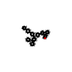 c1ccc(-c2ccc(-c3ccc(N(c4ccc(-c5ccc6c(c5)C5(CC7CCC5C7)c5ccccc5-6)cc4)c4ccc5c6ccccc6n(-c6ccccc6)c5c4)cc3)cc2)cc1